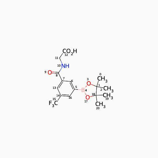 CC1(C)OB(c2cc(C(=O)NCC(=O)O)cc(C(F)(F)F)c2)OC1(C)C